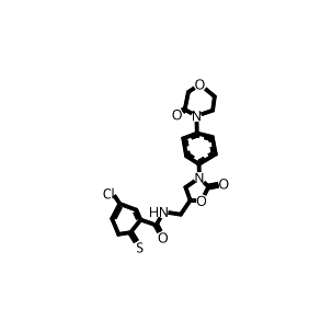 O=C(NCC1CN(c2ccc(N3CCOCC3=O)cc2)C(=O)O1)C1=CC(Cl)=CCC1=S